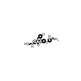 NOC1C=CC(Oc2ccc(/N=c3\[nH]c(=O)n(CC(=O)NCCO)c(=O)n3Cc3ccc(Cl)cc3)cc2)=CN1